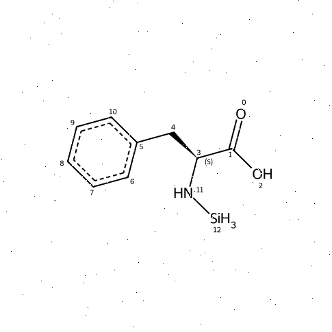 O=C(O)[C@H](Cc1ccccc1)N[SiH3]